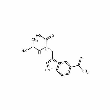 CC(=O)c1ccc2[nH]cc(C[C@H](NC(C)C)C(=O)O)c2c1